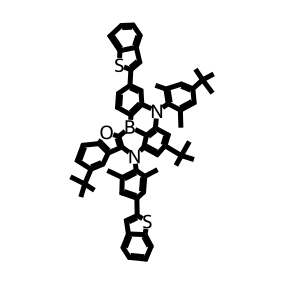 Cc1cc(C(C)(C)C)cc(C)c1N1c2cc(-c3cc4ccccc4s3)ccc2B2c3oc4ccc(C(C)(C)C)cc4c3N(c3c(C)cc(-c4cc5ccccc5s4)cc3C)c3cc(C(C)(C)C)cc1c32